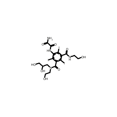 NC(=O)C(=O)Nc1c(I)c(C(=O)NCCO)c(I)c(C(=O)N(CCO)CC(O)CO)c1I